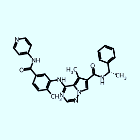 Cc1ccc(C(=O)Nc2ccncc2)cc1Nc1ncnn2cc(C(=O)N[C@@H](C)c3ccccc3)c(C)c12